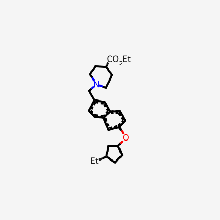 CCOC(=O)C1CCN(Cc2ccc3cc(OC4CCC(CC)C4)ccc3c2)CC1